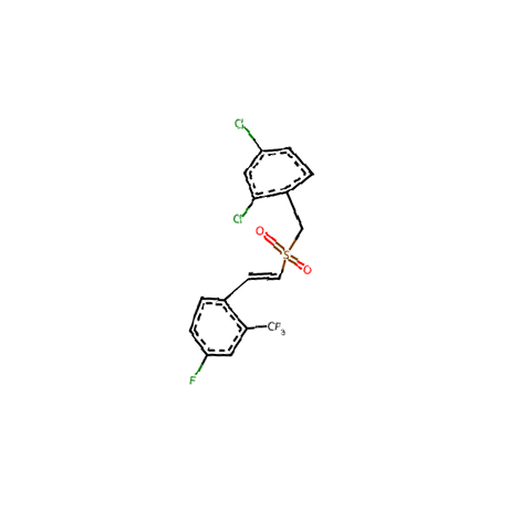 O=S(=O)(C=Cc1ccc(F)cc1C(F)(F)F)Cc1ccc(Cl)cc1Cl